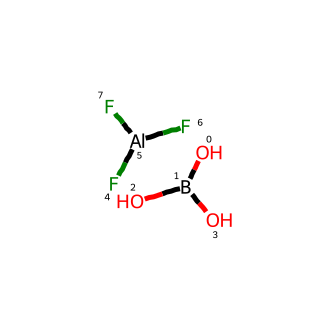 OB(O)O.[F][Al]([F])[F]